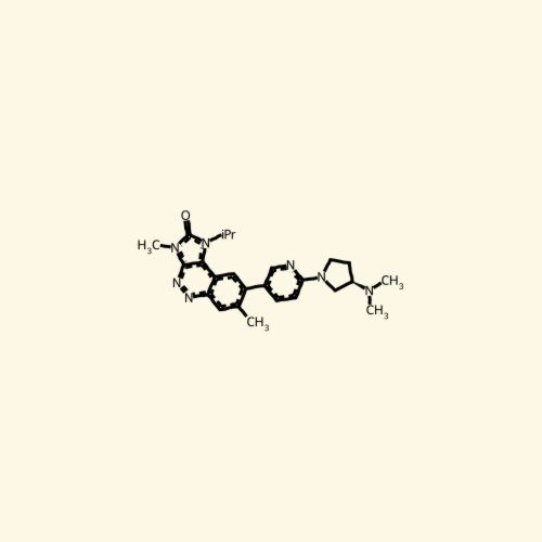 Cc1cc2nnc3c(c2cc1-c1ccc(N2CC[C@@H](N(C)C)C2)nc1)n(C(C)C)c(=O)n3C